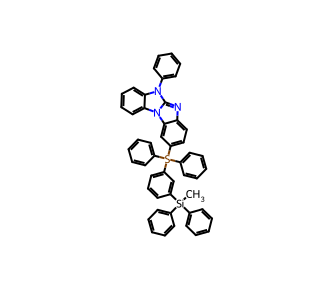 C[Si](c1ccccc1)(c1ccccc1)c1cccc(S(c2ccccc2)(c2ccccc2)c2ccc3nc4n(-c5ccccc5)c5ccccc5n4c3c2)c1